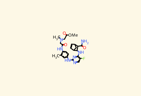 COC(=O)CN(C)CC(=O)Nc1ccc(Nc2ncc(F)c(NC3C4C=CC(C4)C3C(N)=O)n2)cc1C